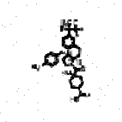 Cc1ccc(C[C@@]23CCN(C(=O)[C@]4(O)CC[C@@H](C(=O)O)CC4)[C@@H]2CCc2cc(C(C)(F)C(F)(F)F)ccc23)cc1